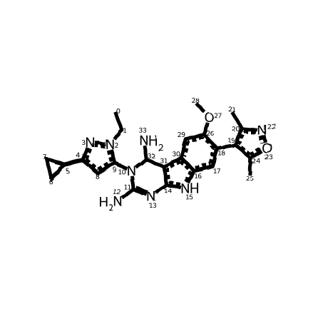 CCn1nc(C2CC2)cc1N1C(N)=Nc2[nH]c3cc(-c4c(C)noc4C)c(OC)cc3c2C1N